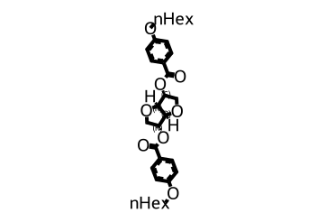 CCCCCCOc1ccc(C(=O)O[C@H]2CO[C@H]3[C@@H]2OC[C@H]3OC(=O)c2ccc(OCCCCCC)cc2)cc1